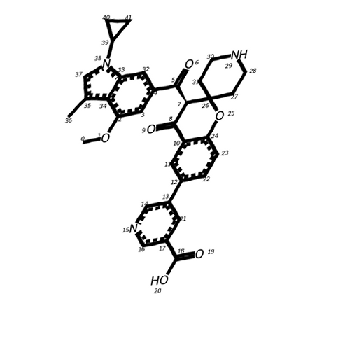 COc1cc(C(=O)[C@@H]2C(=O)c3cc(-c4cncc(C(=O)O)c4)ccc3OC23CCNCC3)cc2c1c(C)cn2C1CC1